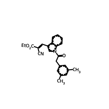 CCOC(=O)/C(C#N)=C/c1cn(C(=O)Cc2cc(C)cc(C)c2)c2ccccc12